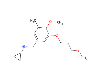 COCCCOc1cc(CNC2CC2)cc(C)c1OC